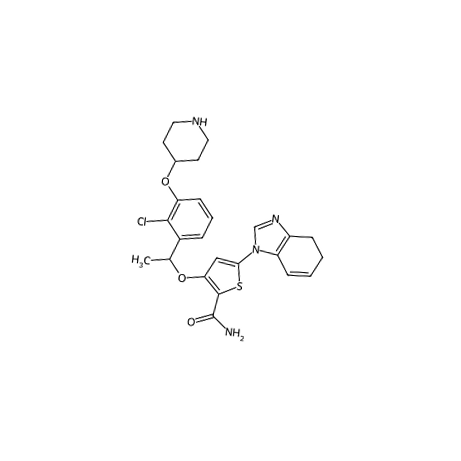 CC(Oc1cc(-n2cnc3c2C=CCC3)sc1C(N)=O)c1cccc(OC2CCNCC2)c1Cl